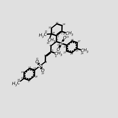 CC1=C(C(C/C(C)=C/CS(=O)(=O)c2ccc(C)cc2)S(=O)(=O)c2ccc(C)cc2)C(C)(C)CCC1